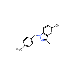 COc1ccc(Cn2nc(C)c3cc(C#N)ccc32)cc1